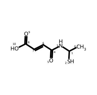 CC(S)NC(=O)C=CC(=O)O